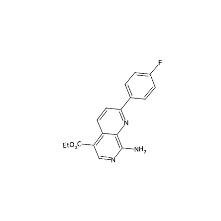 CCOC(=O)c1cnc(N)c2nc(-c3ccc(F)cc3)ccc12